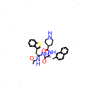 CC(=O)N[C@@H](Cc1csc2ccccc12)NC(=O)[C@@H](Cc1ccc2ccccc2c1)NC(=O)C1CCNCC1